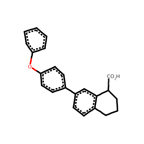 O=C(O)C1CCCc2ccc(-c3ccc(Oc4ccccc4)cc3)cc21